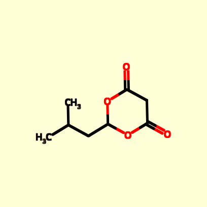 CC(C)CC1OC(=O)CC(=O)O1